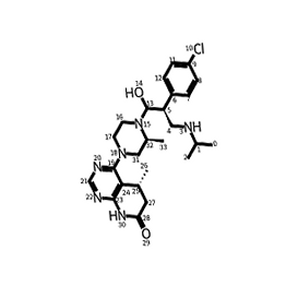 CC(C)NC[C@H](c1ccc(Cl)cc1)C(O)N1CCN(c2ncnc3c2[C@H](C)CC(=O)N3)C[C@@H]1C